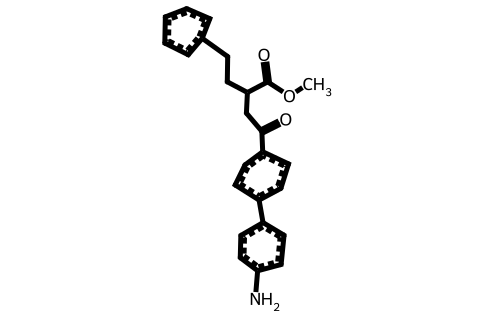 COC(=O)C(CCc1ccccc1)CC(=O)c1ccc(-c2ccc(N)cc2)cc1